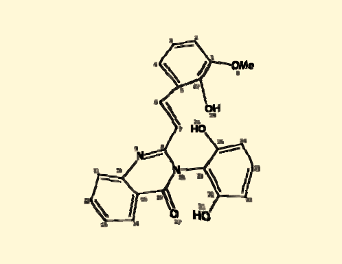 COc1cccc(/C=C/c2nc3ccccc3c(=O)n2-c2c(O)cccc2O)c1O